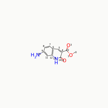 COC(=O)c1cc2ccc(N)cc2[nH]c1=O